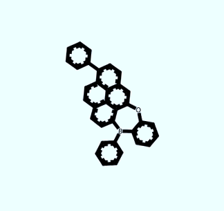 c1ccc(B2c3ccccc3Oc3cc4ccc(-c5ccccc5)c5ccc6ccc2c3c6c45)cc1